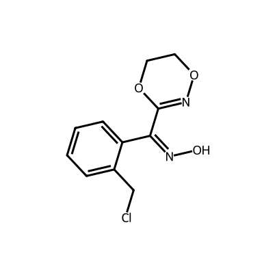 O/N=C(\C1=NOCCO1)c1ccccc1CCl